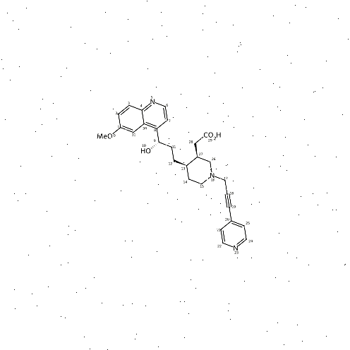 COc1ccc2nccc([C@@H](O)CC[C@@H]3CCN(CC#Cc4ccncc4)C[C@@H]3CC(=O)O)c2c1